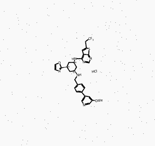 COc1cncc(-c2ccc(CN[C@@H]3C[C@H](Nc4ncnc5sc(CC(F)(F)F)cc45)C[C@H](c4ncco4)C3)cc2)c1.Cl